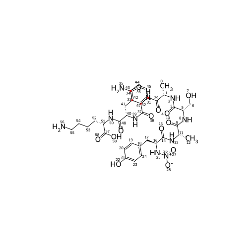 C[C@H](NC(=O)[C@H](CO)NC(=O)[C@H](C)NC(=O)[C@H](Cc1ccc(O)cc1)N[N+](=O)[O-])C(=O)N[C@@H](CC(N)=O)C(=O)N[C@@H](Cc1ccccc1)C(=O)N[C@@H](CCCCN)C(=O)O